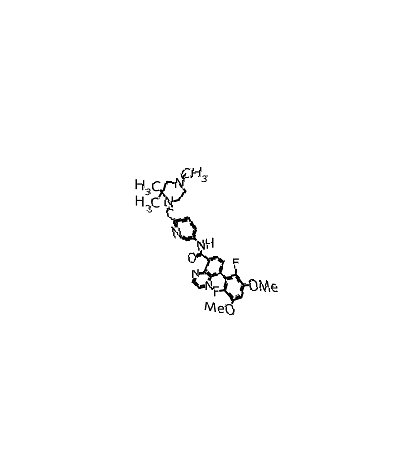 COc1cc(OC)c(F)c(-c2ccc(C(=O)Nc3ccc(CN4CCN(C)CC4(C)C)nc3)c3nccnc23)c1F